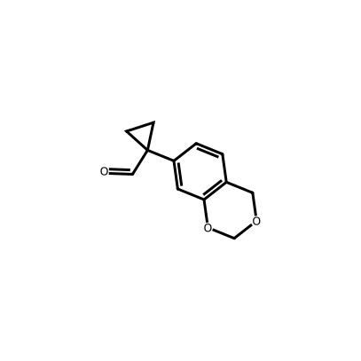 O=CC1(c2ccc3c(c2)OCOC3)CC1